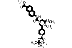 COC(=O)c1ccc2cc(NC(=O)N(CCC3CCN(C(=O)OC(C)(C)C)CC3)CC(OC)OC)ccc2c1